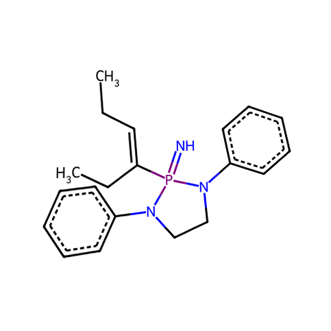 CC/C=C(\CC)P1(=N)N(c2ccccc2)CCN1c1ccccc1